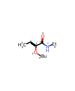 C/C=C(\OC(C)CC)C(=O)NCC